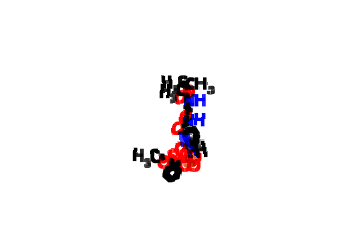 CCOC(=O)C1(COS(=O)(=O)ON2C(=O)N3C[C@H]2CC[C@H]3C(=O)NOCCNC(=O)OC(C)(C)C)CCCCC1